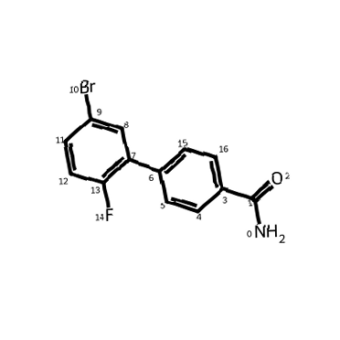 NC(=O)c1ccc(-c2cc(Br)ccc2F)cc1